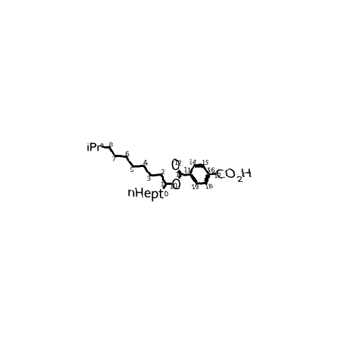 CCCCCCCC(CCCCCCCC(C)C)OC(=O)c1ccc(C(=O)O)cc1